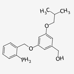 CC(C)COc1cc(CO)cc(OCc2ccccc2P)c1